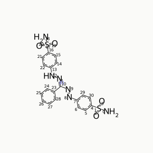 NS(=O)(=O)c1ccc(N=N/C(=N/Nc2ccc(S(N)(=O)=O)cc2)c2ccccc2)cc1